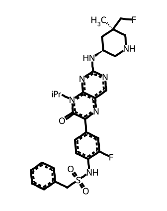 CC(C)n1c(=O)c(-c2ccc(NS(=O)(=O)Cc3ccccc3)c(F)c2)nc2cnc(N[C@@H]3CNC[C@](C)(CF)C3)nc21